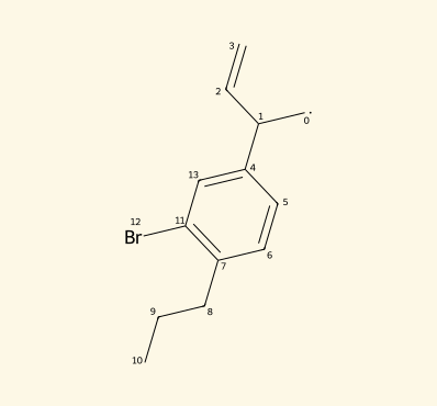 [CH2]C(C=C)c1ccc(CCC)c(Br)c1